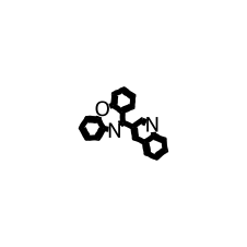 c1ccc2c(c1)N=C(c1cnc3ccccc3c1)c1ccccc1O2